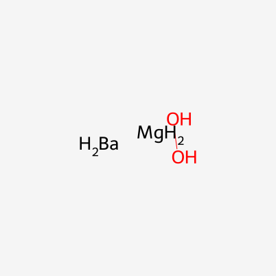 OO.[BaH2].[MgH2]